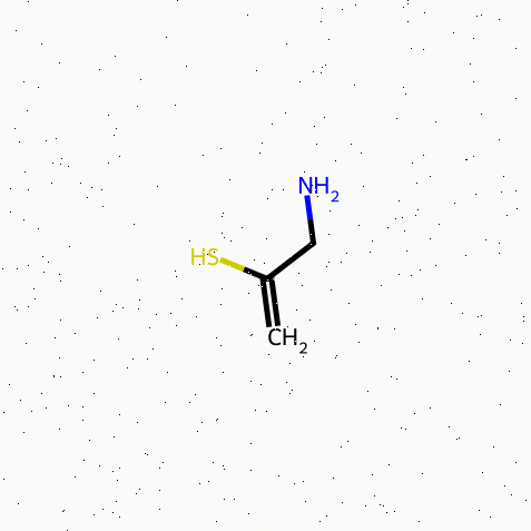 C=C(S)CN